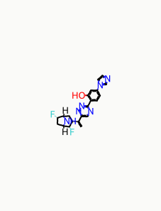 C=C(c1cnc(-c2ccc(-n3ccnc3)cc2O)nn1)[C@@H]1C[C@@H]2N[C@@H](C[C@@H]2F)[C@H]1F